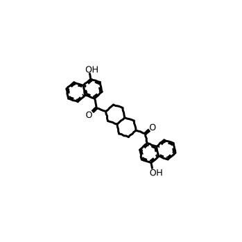 O=C(c1ccc(O)c2ccccc12)C1CCC2CC(C(=O)c3ccc(O)c4ccccc34)CCC2C1